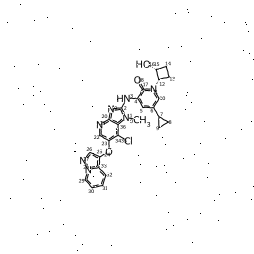 Cn1c(Nc2cc(C3CC3)cn([C@H]3CC[C@H]3O)c2=O)nc2ncc(Oc3cnn4ccccc34)c(Cl)c21